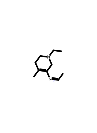 C/C=N\C1=C(C)CCN(CC)C1